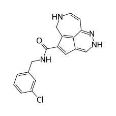 O=C(NCc1cccc(Cl)c1)c1cc2c[nH]nc3c-2c1CNC=C3